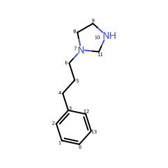 c1ccc(CCCN2CCNC2)cc1